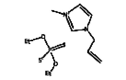 C=CCn1cc[n+](C)c1.CCOP(=S)([S-])OCC